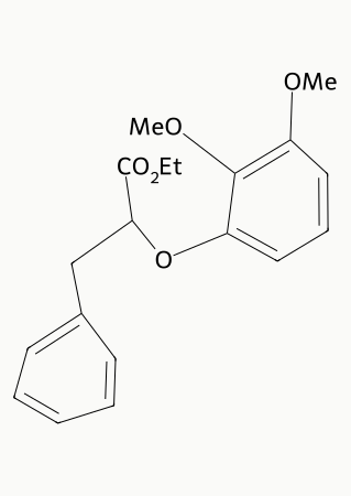 CCOC(=O)C(Cc1ccccc1)Oc1cccc(OC)c1OC